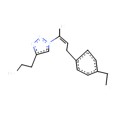 CCCc1cn(/C(C)=C\Cc2ccc(CC)cc2)nn1